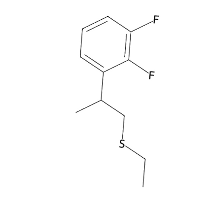 CCSCC(C)c1cccc(F)c1F